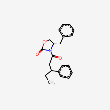 CCC(CC(=O)N1C(=O)OC[C@@H]1Cc1ccccc1)c1ccccc1